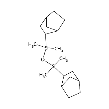 C[Si](C)(O[Si](C)(C)C1CC2CCC1C2)C1CC2CCC1C2